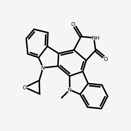 Cn1c2ccccc2c2c3c(c4c5ccccc5n(C5CO5)c4c21)C(=O)NC3=O